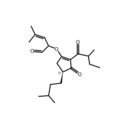 CCC(C)C(=O)C1=C(OC(C=O)C=C(C)C)C[C@H](CCC(C)C)C1=O